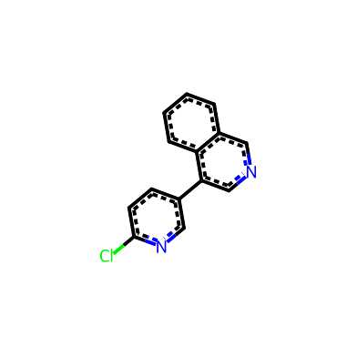 Clc1ccc(-c2cncc3ccccc23)cn1